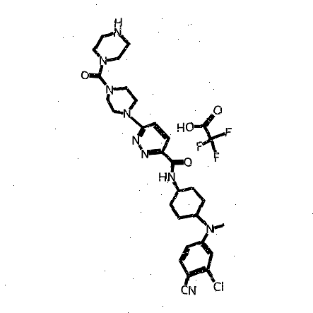 CN(c1ccc(C#N)c(Cl)c1)C1CCC(NC(=O)c2ccc(N3CCN(C(=O)N4CCNCC4)CC3)nn2)CC1.O=C(O)C(F)(F)F